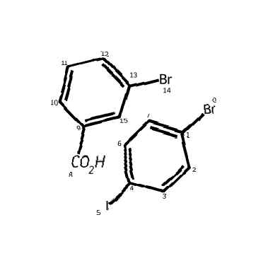 Brc1ccc(I)cc1.O=C(O)c1cccc(Br)c1